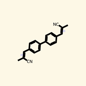 C/C(C#N)=C/c1ccc(-c2ccc(/C=C(/C)C#N)cc2)cc1